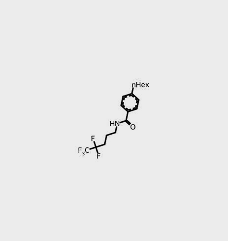 [CH2]CCCCCc1ccc(C(=O)NCCCC(F)(F)C(F)(F)F)cc1